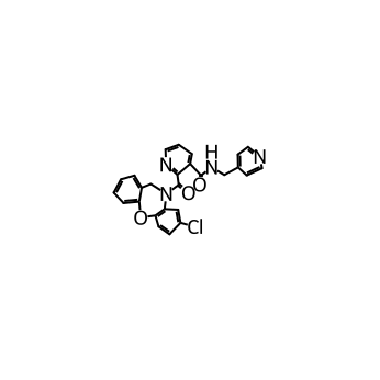 O=C(NCc1ccncc1)c1cccnc1C(=O)N1Cc2ccccc2Oc2ccc(Cl)cc21